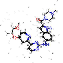 CO[C@@H](C)[C@H](C)Oc1ccnc(-c2ccnc(Nc3ccc4[nH]c(C(=O)N5CCN(C)CC5)cc4c3)n2)c1